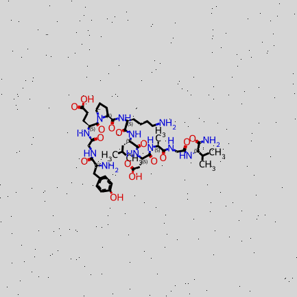 CC(C)C[C@H](NC(=O)[C@H](CCCCN)NC(=O)[C@@H]1CCCN1C(=O)[C@H](CCC(=O)O)NC(=O)CNC(=O)[C@@H](N)Cc1ccc(O)cc1)C(=O)N[C@@H](CC(=O)O)C(=O)N[C@@H](C)C(=O)NCC(=O)N[C@H](C(N)=O)C(C)C